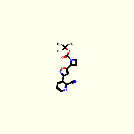 CC(C)(C)OC(=O)N1CCC1c1cc(-c2cccnc2C#N)no1